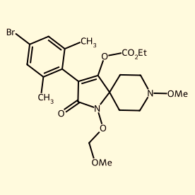 CCOC(=O)OC1=C(c2c(C)cc(Br)cc2C)C(=O)N(OCOC)C12CCN(OC)CC2